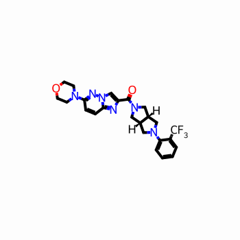 O=C(c1cn2nc(N3CCOCC3)ccc2n1)N1C[C@@H]2CN(c3ccccc3C(F)(F)F)C[C@@H]2C1